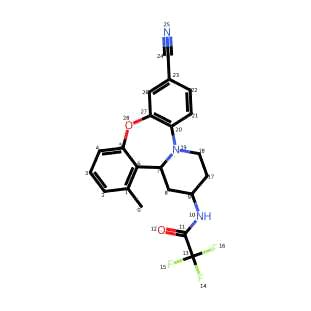 Cc1cccc2c1C1CC(NC(=O)C(F)(F)F)CCN1c1ccc(C#N)cc1O2